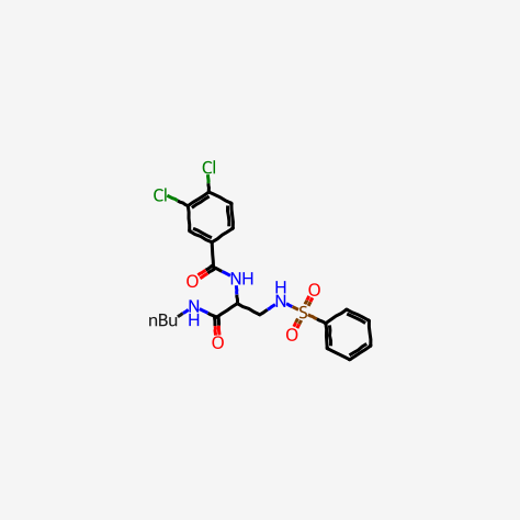 CCCCNC(=O)C(CNS(=O)(=O)c1ccccc1)NC(=O)c1ccc(Cl)c(Cl)c1